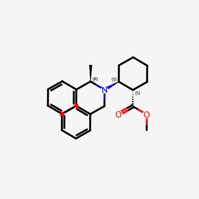 COC(=O)[C@H]1CCCC[C@@H]1N(Cc1ccccc1)[C@H](C)c1ccccc1